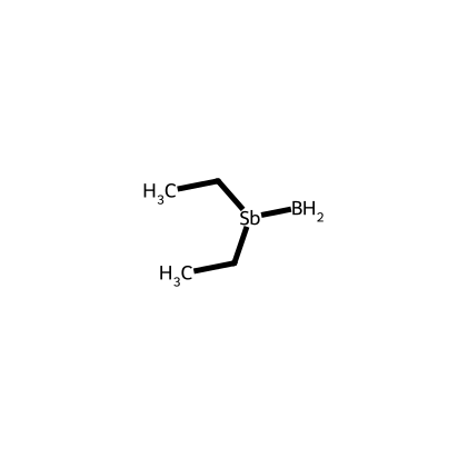 [BH2][Sb]([CH2]C)[CH2]C